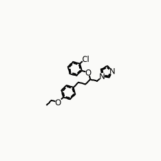 CCOc1ccc(CCC(Cn2ccnc2)Oc2ccccc2Cl)cc1